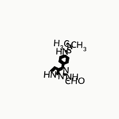 CN(C)SNc1ccc(-c2nc(NC=O)nc3[nH]ccc23)cc1